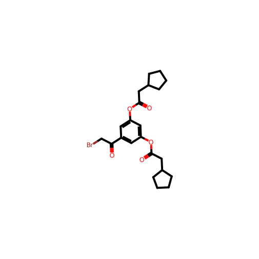 O=C(CC1CCCC1)Oc1cc(OC(=O)CC2CCCC2)cc(C(=O)CBr)c1